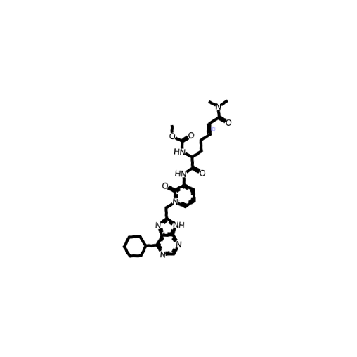 COC(=O)NC(CC/C=C/C(=O)N(C)C)C(=O)Nc1cccn(Cc2nc3c(C4CCCCC4)ncnc3[nH]2)c1=O